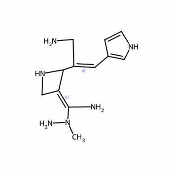 CN(N)/C(N)=C1\CNC1/C(=C/c1cc[nH]c1)CN